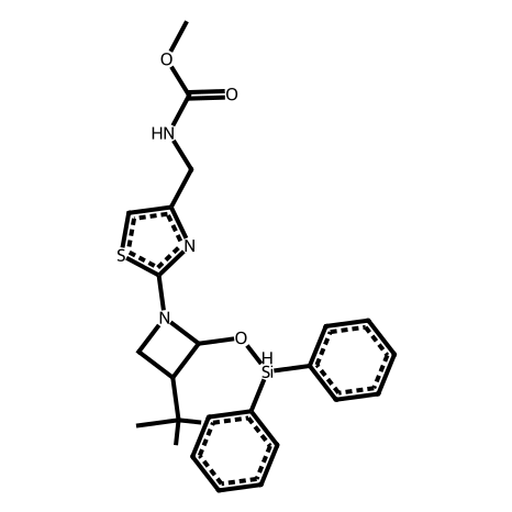 COC(=O)NCc1csc(N2CC(C(C)(C)C)C2O[SiH](c2ccccc2)c2ccccc2)n1